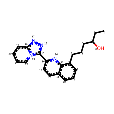 CCC(O)CCCc1cccc2ccc(-c3nnc4ccccn34)nc12